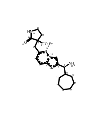 CCOC(=O)C1(Cc2ccc3nc([C@@H](N)C4CCCCCC4)cn3n2)CCNC1=O